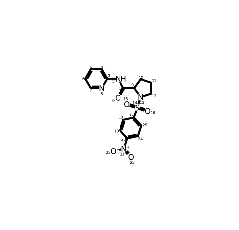 O=C(Nc1ccccn1)C1CCCN1S(=O)(=O)c1ccc([N+](=O)[O-])cc1